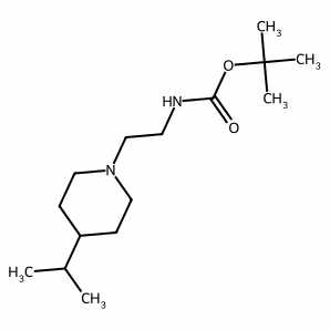 CC(C)C1CCN(CCNC(=O)OC(C)(C)C)CC1